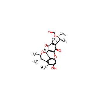 CC1=C([C@H](C)[C@@H](C)OC=O)C(=O)C2=C(C1=O)[C@@H]1O[C@H](C)[C@@H](C)c3c(C)c(O)cc(c31)O2